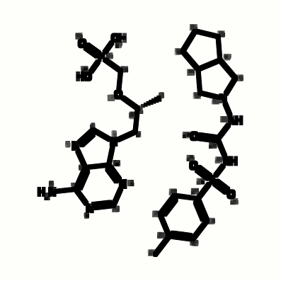 C[C@H](Cn1cnc2c(N)ncnc21)OCP(=O)(O)O.Cc1ccc(S(=O)(=O)NC(=O)NN2CC3CCCC3C2)cc1